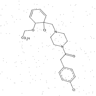 O=C(O)COC1C=CC=CC1(Cl)CN1CCN(C(=O)Cc2ccc(Cl)cc2)CC1